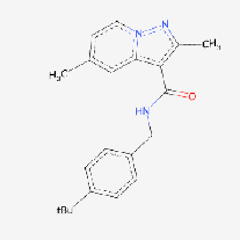 Cc1ccn2nc(C)c(C(=O)NCc3ccc(C(C)(C)C)cc3)c2c1